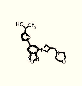 OC(c1ccc(-c2cc(N3CC(CN4CCOCC4)C3)c3nonc3c2)s1)C(F)(F)F